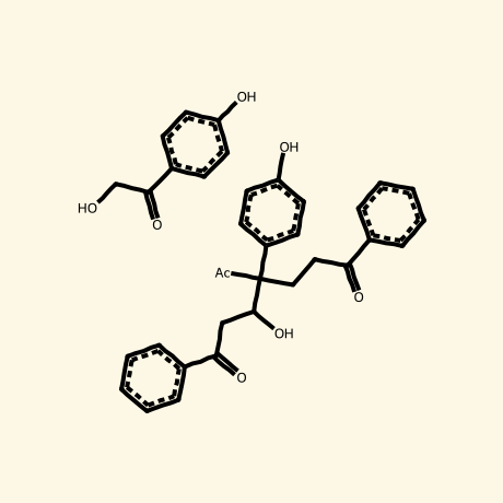 CC(=O)C(CCC(=O)c1ccccc1)(c1ccc(O)cc1)C(O)CC(=O)c1ccccc1.O=C(CO)c1ccc(O)cc1